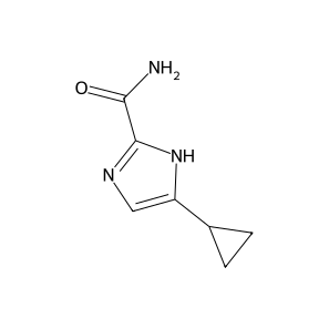 NC(=O)c1ncc(C2CC2)[nH]1